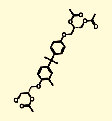 CC(=O)OC[C@H](COc1ccc(C(C)(C)c2ccc(OC[C@@H](CCl)OC(C)=O)c(C)c2)cc1)OC(C)=O